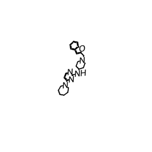 c1ccc2oc(CN3CCC(Nc4nccc(N5CCCCCC5)n4)CC3)cc2c1